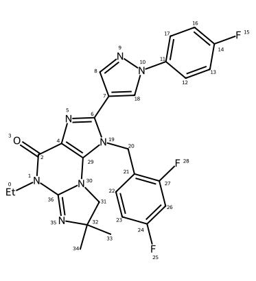 CCN1C(=O)c2nc(-c3cnn(-c4ccc(F)cc4)c3)n(Cc3ccc(F)cc3F)c2N2CC(C)(C)N=C12